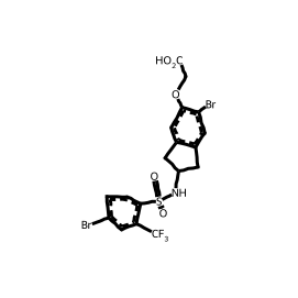 O=C(O)COc1cc2c(cc1Br)CC(NS(=O)(=O)c1ccc(Br)cc1C(F)(F)F)C2